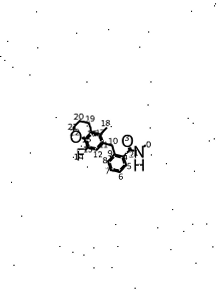 CNC(=O)c1ccccc1Cc1cc(F)c2c(c1C)CCCO2